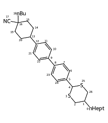 CCCCCCCC1CSC(c2ccc(-c3ccc(C4CCC(C#N)(CCCC)CC4)cc3)cc2)SC1